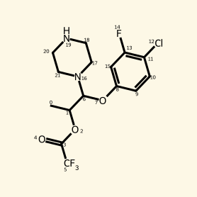 CC(OC(=O)C(F)(F)F)C(Oc1ccc(Cl)c(F)c1)N1CCNCC1